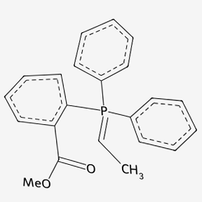 CC=P(c1ccccc1)(c1ccccc1)c1ccccc1C(=O)OC